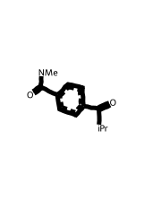 CNC(=O)c1ccc(C(=O)C(C)C)cc1